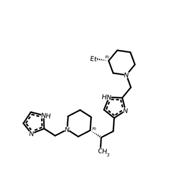 CC[C@@H]1CCCN(Cc2nc(CC(C)[C@H]3CCCN(Cc4ncc[nH]4)C3)c[nH]2)C1